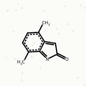 Cc1ccc(C)c2c1=CC(=O)N=2